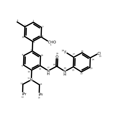 Cc1ccc(C=O)c(-c2ccc(N(CC(C)C)CC(C)C)c(NC(=O)Nc3ccc(Cl)cc3F)c2)c1